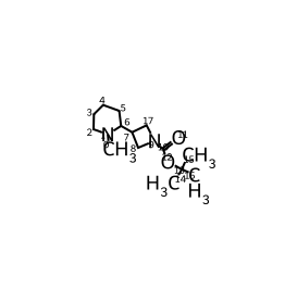 CN1CCCCC1C1CN(C(=O)OC(C)(C)C)C1